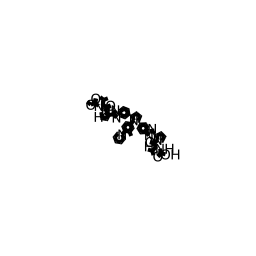 COC(=O)N[C@H](C(=O)n1cccc1-c1nc2cc([C@H]3CC[C@H](c4ccc5[nH]c([C@@H]6CCCN6C(=O)[C@@H](NC(=O)O)C(C)C)nc5c4)N3c3ccc(N4CCCCC4)c(C)c3)ccc2[nH]1)C(C)C